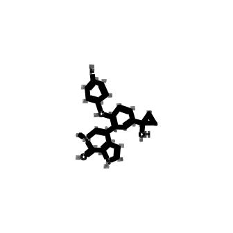 Cn1cc(-c2cc(C3(O)CC3)ccc2Oc2ccc(F)cc2)c2ccsc2c1=O